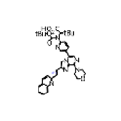 CC(C)(C)OC(=O)N(c1ccc(-c2cnc(N3CCOCC3)c3nc(/C=C/c4ccc5ccccc5n4)cn23)cn1)C(C(=O)O)C(C)(C)C